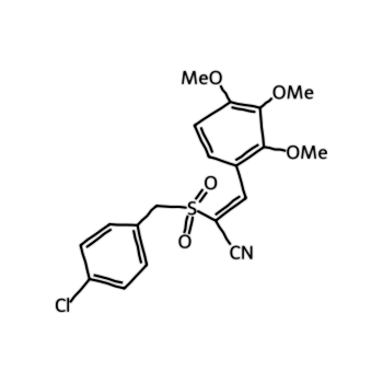 COc1ccc(C=C(C#N)S(=O)(=O)Cc2ccc(Cl)cc2)c(OC)c1OC